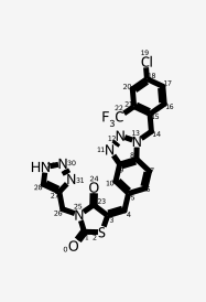 O=C1SC(=Cc2ccc3c(c2)nnn3Cc2ccc(Cl)cc2C(F)(F)F)C(=O)N1Cc1c[nH]nn1